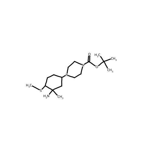 CSC1CCC(N2CCN(C(=O)OC(C)(C)C)CC2)CC1(C)N